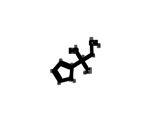 CCC(O)(Cl)c1cccs1